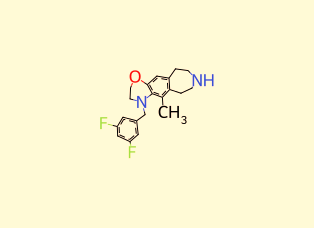 Cc1c2c(cc3c1N(Cc1cc(F)cc(F)c1)CCO3)CCNCC2